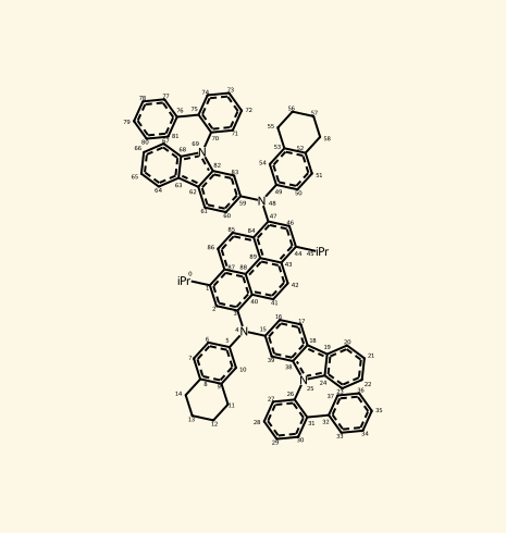 CC(C)c1cc(N(c2ccc3c(c2)CCCC3)c2ccc3c4ccccc4n(-c4ccccc4-c4ccccc4)c3c2)c2ccc3c(C(C)C)cc(N(c4ccc5c(c4)CCCC5)c4ccc5c6ccccc6n(-c6ccccc6-c6ccccc6)c5c4)c4ccc1c2c34